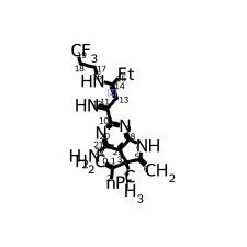 C=C(CCC)C1(C)C(=C)Nc2nc(C(=N)/C=C(/CC)NCCC(F)(F)F)nc(N)c21